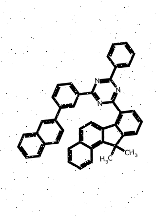 CC1(C)c2cccc(-c3nc(-c4ccccc4)nc(-c4cccc(-c5ccc6ccccc6c5)c4)n3)c2-c2ccc3ccccc3c21